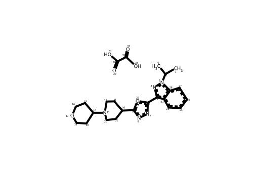 CC(C)n1nc(-c2nnc(C3CCN(C4CCOCC4)CC3)o2)c2ccccc21.O=C(O)C(=O)O